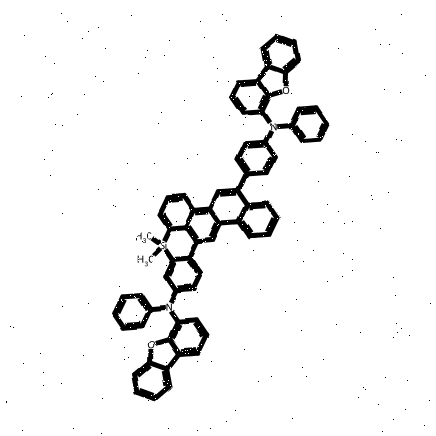 C[Si]1(C)c2cc(N(c3ccccc3)c3cccc4c3oc3ccccc34)ccc2-c2cc3c4ccccc4c(-c4ccc(N(c5ccccc5)c5cccc6c5oc5ccccc56)cc4)cc3c3cccc1c23